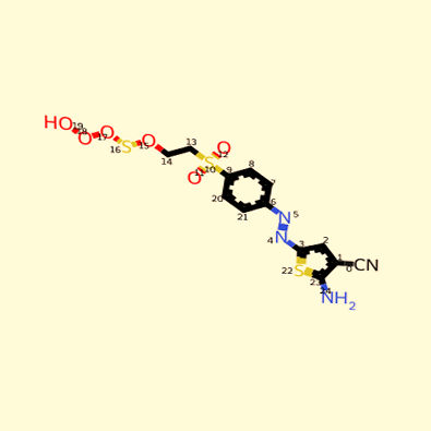 N#Cc1cc(/N=N/c2ccc(S(=O)(=O)CCOSOOO)cc2)sc1N